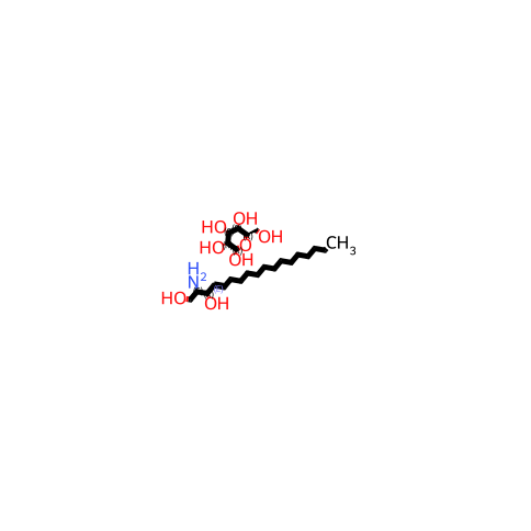 CCCCCCCCCCCCC/C=C/[C@@H](O)[C@@H](N)CO.OC[C@H]1O[C@@H](O)[C@H](O)[C@@H](O)[C@@H]1O